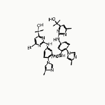 CCc1cc(C(C)(C)O)nc(Nc2ccc(-n3cnc(C)c3)c(OC)c2)n1.COc1cc(Nc2nc(C)cc(C(C)(C)O)n2)ccc1-n1cnc(C)c1